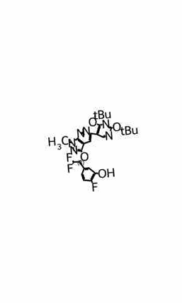 Cn1nc(O[C@H](c2ccc(F)c(O)c2)C(F)F)c2cc(-c3cnc(OC(C)(C)C)nc3OC(C)(C)C)nnc21